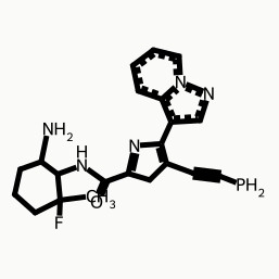 CC1(F)CCCC(N)C1NC(=O)C1=NC(c2cnn3ccccc23)=C(C#CP)C1